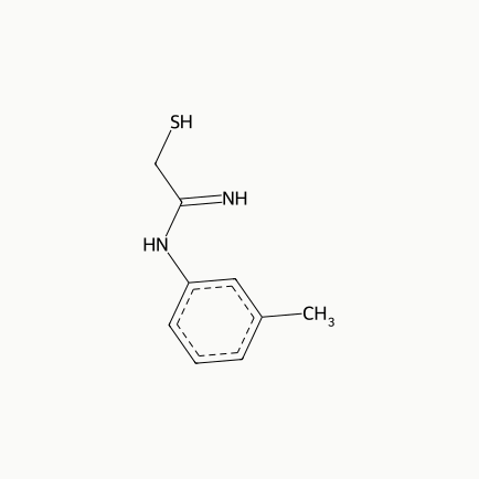 Cc1cccc(NC(=N)CS)c1